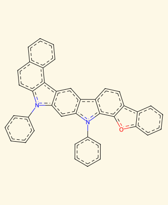 c1ccc(-n2c3cc4c(cc3c3c5ccccc5ccc32)c2ccc3c5ccccc5oc3c2n4-c2ccccc2)cc1